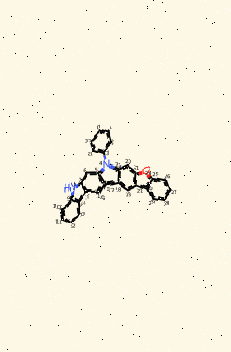 c1ccc(-n2c3cc4[nH]c5ccccc5c4cc3c3cc4c(cc32)oc2ccccc24)cc1